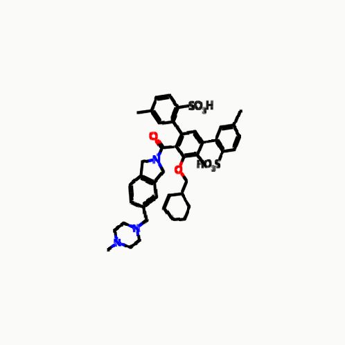 Cc1ccc(S(=O)(=O)O)c(-c2cc(-c3cc(C)ccc3S(=O)(=O)O)c(C(=O)N3Cc4ccc(CN5CCN(C)CC5)cc4C3)c(OCC3CCCCC3)c2C)c1